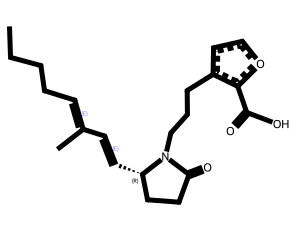 CCCC/C=C(C)/C=C/[C@H]1CCC(=O)N1CCCc1ccoc1C(=O)O